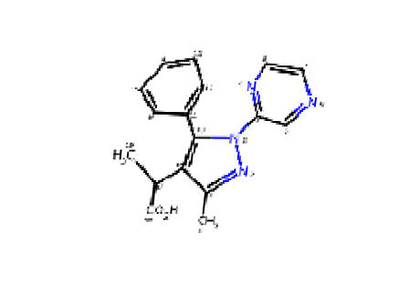 Cc1nn(-c2cnccn2)c(-c2ccccc2)c1C(C)C(=O)O